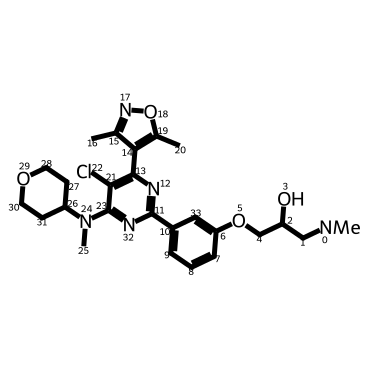 CNCC(O)COc1cccc(-c2nc(-c3c(C)noc3C)c(Cl)c(N(C)C3CCOCC3)n2)c1